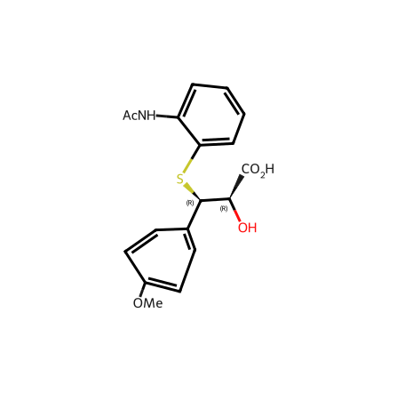 COc1ccc([C@@H](Sc2ccccc2NC(C)=O)[C@H](O)C(=O)O)cc1